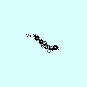 COc1ccc(-c2ccc(S(=O)(=O)N3CCN(C(=O)c4cc5cc(Cl)ccc5[nH]4)CC3)cc2)cc1